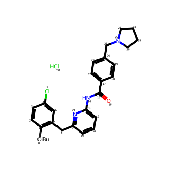 CC(C)COc1ccc(Cl)cc1Cc1cccc(NC(=O)c2ccc(CN3CCCC3)cc2)n1.Cl